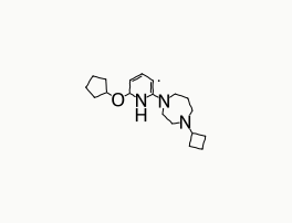 [C]1=C(N2CCCN(C3CCC3)CC2)NC(OC2CCCC2)C=C1